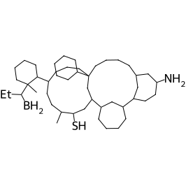 BC(CC)C1(C)CCCCC1C1CCCC2(C3CCCCC3)CCCCC3CC(N)CCC(C3)C3CCCCC(C3)C(CC(S)C(C)CC1)C2